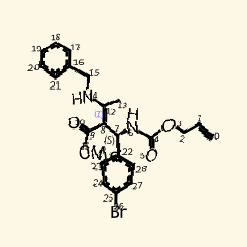 C=CCOC(=O)N[C@H](/C(C(=O)OC)=C(\C)NCc1ccccc1)c1ccc(Br)cc1